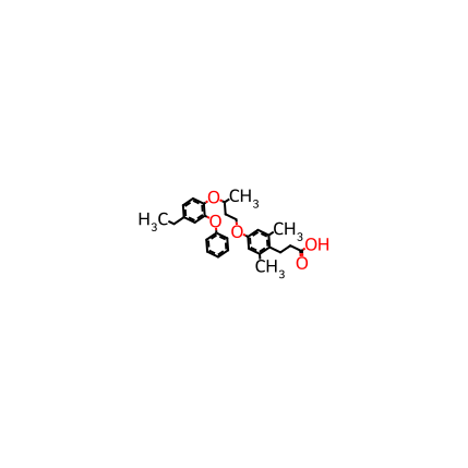 CCc1ccc(OC(C)CCOc2cc(C)c(CCC(=O)O)c(C)c2)c(Oc2ccccc2)c1